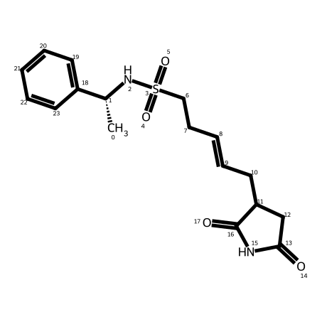 C[C@@H](NS(=O)(=O)CC/C=C/CC1CC(=O)NC1=O)c1ccccc1